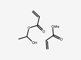 C=CC(=O)OC.C=CC(=O)OC(C)O